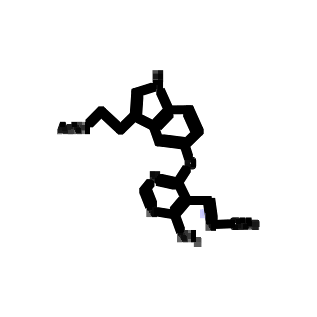 CO/N=C/c1c(N)ncnc1Oc1ccc2[nH]cc(CCNC(C)=O)c2c1